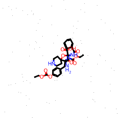 CCOC(=O)N=C(N)C1(OC(NC(=O)c2ccccc2)(C(=O)O)C(=O)CCc2ccc(OC(=O)OCC)cc2)CCNCC1